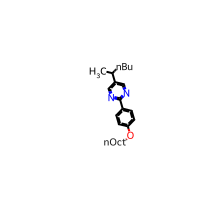 CCCCCCCCOc1ccc(-c2ncc(C(C)CCCC)cn2)cc1